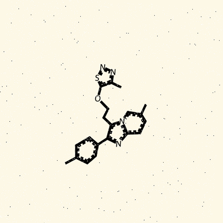 Cc1ccc(-c2nc3ccc(C)cn3c2CCOc2snnc2C)cc1